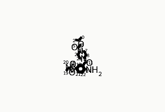 CC(C)OC(=O)N1CCN(C(=O)c2cc(S(=O)(=O)N(C)C)ccc2N)CC1